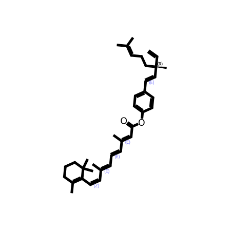 C=C[C@](C)(/C=C/c1ccc(OC(=O)/C=C(C)/C=C/C=C(C)/C=C\C2=C(C)CCCC2(C)C)cc1)CCC=C(C)C